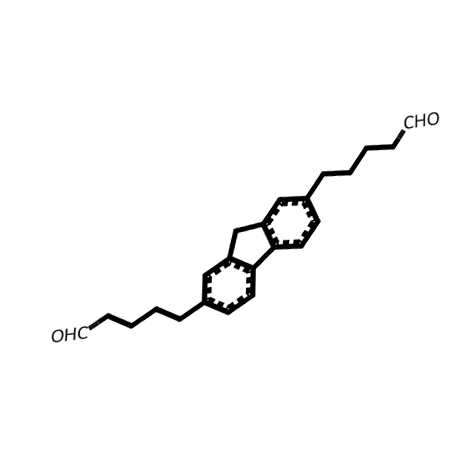 O=CCCCCc1ccc2c(c1)Cc1cc(CCCCC=O)ccc1-2